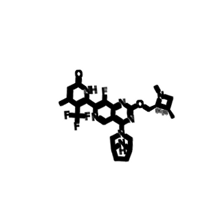 Cc1cc(=O)[nH]c(-c2ncc3c(N4CC5CCC(C4)N5)nc(OC[C@@H]4[C@H](C)CN4C)nc3c2F)c1C(F)(F)F